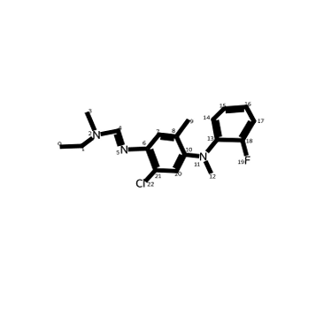 CCN(C)C=Nc1cc(C)c(N(C)c2ccccc2F)cc1Cl